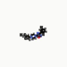 CC(C)CCN1CCN(c2nc(C3C[C@H]4CC[C@H]3C4)no2)CC1